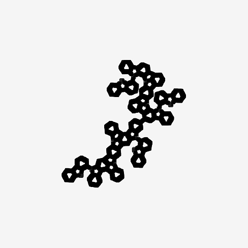 c1ccc2c(c1)oc1c(-n3c4ccccc4c4c5c6ccccc6n6c7cc8c9cc%10c(c%11ccc(-c%12cc%13c%14ccccc%14n(-c%14cccc%15c%14oc%14ccccc%14%15)c%13c%13c%12c%12cccc%14c%15cc%16c(cc%15n%13c%14%12)c%12cccc%13c%14ccc%15c%17ccccc%17n(-c%17cccc%18c%17oc%17ccccc%17%18)c%15c%14n%16c%12%13)cc%11n%10-c%10cccc%11c%10oc%10ccccc%10%11)c%10c%11ccccc%11n(c8cc7c(cc43)c56)c9%10)cccc12